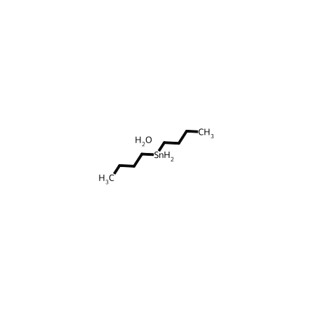 CCC[CH2][SnH2][CH2]CCC.O